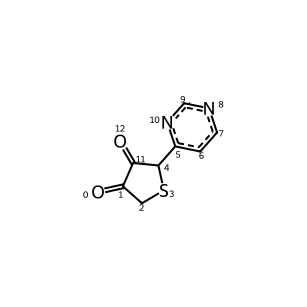 O=C1CSC(c2ccn[c]n2)C1=O